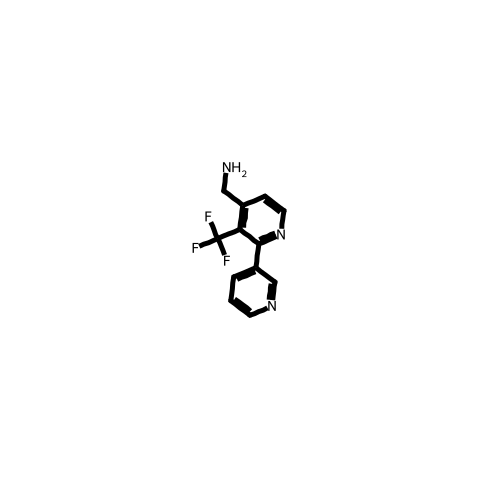 NCc1ccnc(-c2cccnc2)c1C(F)(F)F